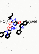 C=CC1CC1(NC(=O)[C@@H]1C[C@@H](Oc2cc(-c3ccccc3)nc3cc(OC)ccc23)CN1C(=O)N[C@@H](Cc1ccccc1)C(=O)NCC1CCCCC1)C(=O)O